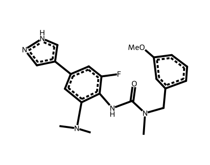 COc1cccc(CN(C)C(=O)Nc2c(F)cc(-c3cn[nH]c3)cc2N(C)C)c1